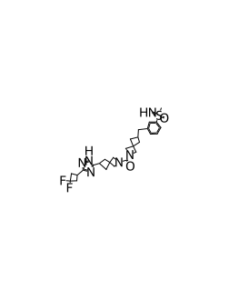 CS(=N)(=O)c1cccc(CC2CC3(C2)CN(C(=O)N2CC4(CC(c5nc(C6CC(F)(F)C6)n[nH]5)C4)C2)C3)c1